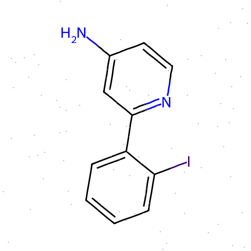 Nc1ccnc(-c2ccccc2I)c1